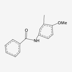 COc1ccc(NC(=O)c2ccccc2)cc1C